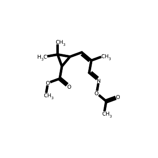 COC(=O)C1C(C=C(C)C=NOC(C)=O)C1(C)C